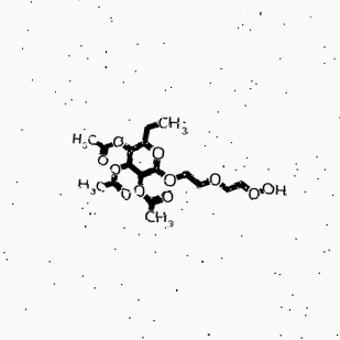 CCC1OC(OCCOCCOO)C(OC(C)=O)C(OC(C)=O)C1OC(C)=O